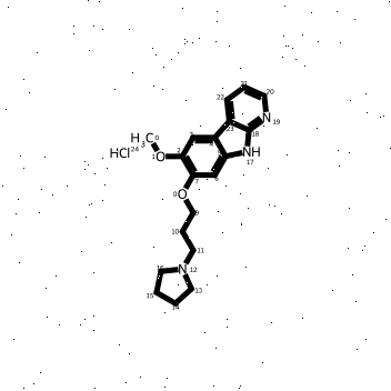 COc1cc2c(cc1OCCCN1CCCC1)[nH]c1ncccc12.Cl